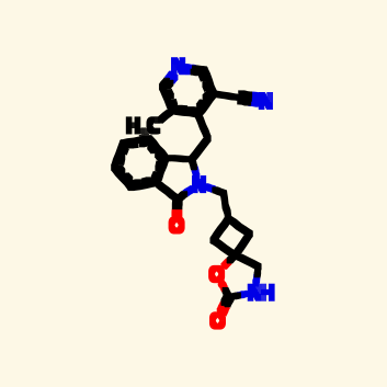 Cc1cncc(C#N)c1CC1c2ccccc2C(=O)N1CC1CC2(CNC(=O)O2)C1